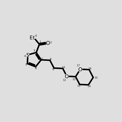 CCC(=O)c1sccc1CCCOC1CCCCO1